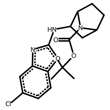 CC(C)(C)OC(=O)N1C2CCC1C(Nc1nc3cc(Cl)ccc3o1)C2